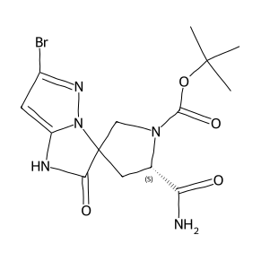 CC(C)(C)OC(=O)N1CC2(C[C@H]1C(N)=O)C(=O)Nc1cc(Br)nn12